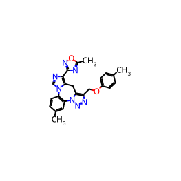 Cc1ccc(OCc2nnn3c2Cc2c(-c4noc(C)n4)ncn2-c2ccc(C)cc2-3)cc1